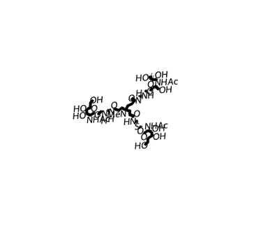 CNC(CCC(=O)NCNCOC1OC(CO)C(O)C(O)C1NC(C)=O)(CCC(=O)NCNCOC(OC(CO)[C@@H](C)O)[C@H](CO)NC(C)=O)CCC(=O)NCSCOC1OC(CO)C(O)C(O)C1NC(C)=O